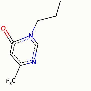 CCCCCCCCCCCn1cnc(C(F)(F)F)cc1=O